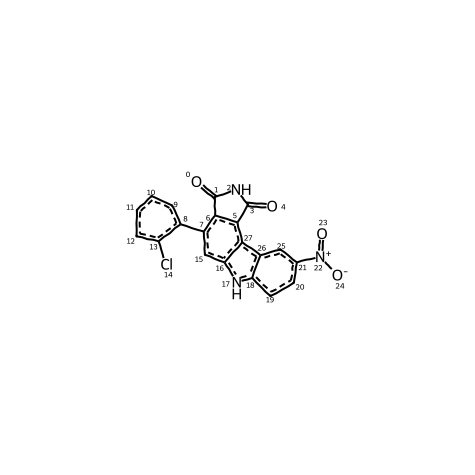 O=C1NC(=O)c2c1c(-c1ccccc1Cl)cc1[nH]c3ccc([N+](=O)[O-])cc3c21